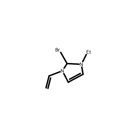 C=CN1C=CN(CC)C1Br